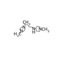 CC(CCCNC1CCN(C)CC1)N1CCN(C)CC1